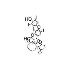 O=C(O)[C@@H](Cc1cc(I)c(Oc2cc(I)c(O)c(I)c2)c(I)c1)N1C(=O)CCCCCC(N2C(=O)CCC2=O)C1=O